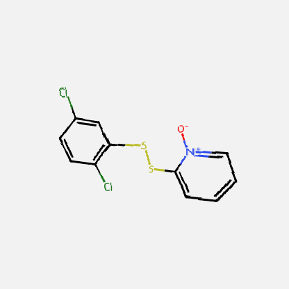 [O-][n+]1ccccc1SSc1cc(Cl)ccc1Cl